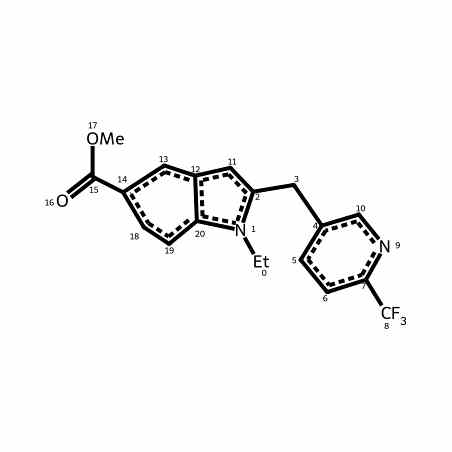 CCn1c(Cc2ccc(C(F)(F)F)nc2)cc2cc(C(=O)OC)ccc21